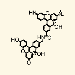 CN(C)c1ccc2c(-c3ccc(C(=O)NCc4ccc(-c5c6ccc(=O)cc-6oc6cc(O)ccc56)c(C(=O)O)c4)cc3C(=O)O)c3ccc(=N)cc-3oc2c1